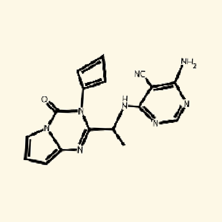 CC(Nc1ncnc(N)c1C#N)c1nc2cccn2c(=O)n1C1=CC=C1